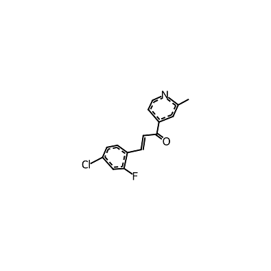 Cc1cc(C(=O)C=Cc2ccc(Cl)cc2F)ccn1